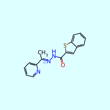 C/C(=N\NC(=O)c1cc2ccccc2s1)c1ccccn1